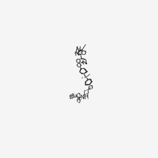 Cc1nnc(-c2cnc(Oc3ccc(C(C)(C)c4ccc(OC5CC(NC(=O)OC(C)(C)C)C5)cc4)cc3)o2)o1